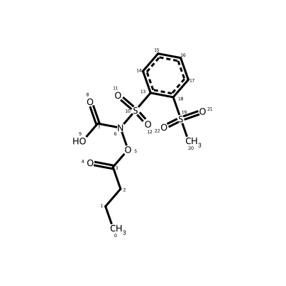 CCCC(=O)ON(C(=O)O)S(=O)(=O)c1ccccc1S(C)(=O)=O